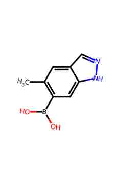 Cc1cc2cn[nH]c2cc1B(O)O